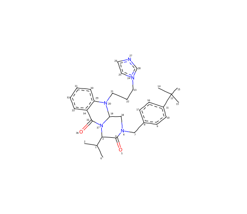 CC(C)C1C(=O)N(Cc2ccc(C(C)(C)C)cc2)CC2N(CCCn3ccnc3)c3ccccc3C(=O)N12